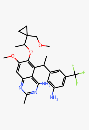 COCC1(C(C)Oc2c(OC)cc3nc(C)nc(N)c3c2C(C)c2cc(N)cc(C(F)(F)F)c2)CC1